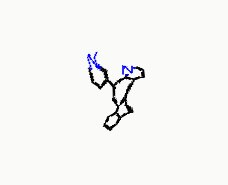 c1cncc(-c2cc3c4ccccc4ccc3c3cccnc23)c1